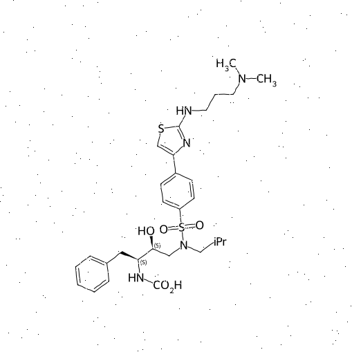 CC(C)CN(C[C@H](O)[C@H](Cc1ccccc1)NC(=O)O)S(=O)(=O)c1ccc(-c2csc(NCCCN(C)C)n2)cc1